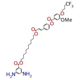 COc1cc(C(=O)Oc2ccc(C=CC(=O)OCCCCCCCCCCCOC(=O)c3cc(N)cc(N)c3)cc2)ccc1OCCCC(F)(F)F